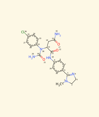 CN1CCN=C1c1ccc(NC(=O)C(CC(N)=O)N(C(N)=O)c2ccc(Cl)cc2)cc1